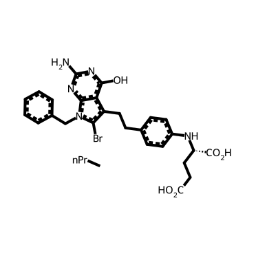 CCCC.Nc1nc(O)c2c(CCc3ccc(N[C@@H](CCC(=O)O)C(=O)O)cc3)c(Br)n(Cc3ccccc3)c2n1